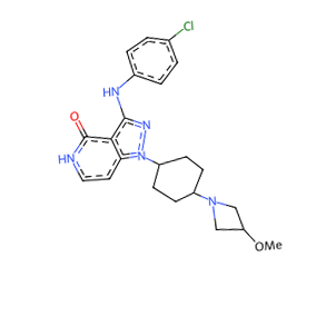 COC1CN(C2CCC(n3nc(Nc4ccc(Cl)cc4)c4c(=O)[nH]ccc43)CC2)C1